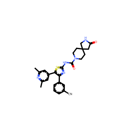 Cc1cc(-c2sc(NC(=O)N3CCC4(CC3)CNC(=O)C4)nc2-c2cccc(C#N)c2)cc(C)n1